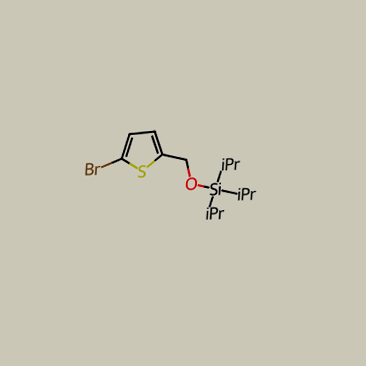 CC(C)[Si](OCc1ccc(Br)s1)(C(C)C)C(C)C